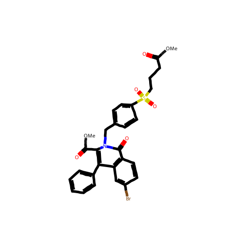 COC(=O)CCCS(=O)(=O)c1ccc(Cn2c(C(=O)OC)c(-c3ccccc3)c3cc(Br)ccc3c2=O)cc1